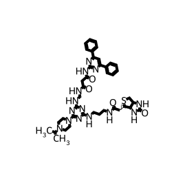 CC(C)N1CCN(c2nc(NCCCNC(=O)C[C@@H]3SCC4NC(=O)NC43)nc(NCNC(=O)CC(=O)Nc3nc(-c4ccccc4)cc(-c4ccccc4)n3)n2)CC1